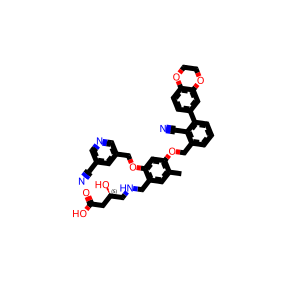 Cc1cc(CNC[C@@H](O)CC(=O)O)c(OCc2cncc(C#N)c2)cc1OCc1cccc(-c2ccc3c(c2)OCCO3)c1C#N